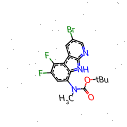 CN(C(=O)OC(C)(C)C)c1cc(F)c(F)c2c1[nH]c1ncc(Br)cc12